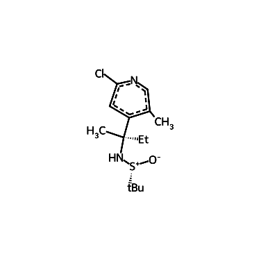 CC[C@@](C)(N[S@+]([O-])C(C)(C)C)c1cc(Cl)ncc1C